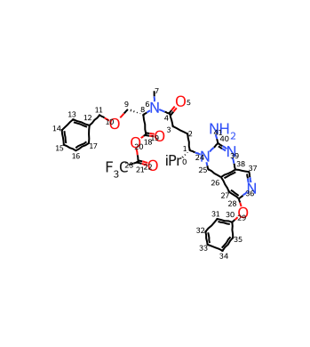 CC(C)[C@H](CCC(=O)N(C)[C@@H](COCc1ccccc1)C(=O)OC(=O)C(F)(F)F)N1Cc2cc(Oc3ccccc3)ncc2N=C1N